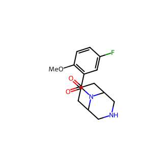 COc1ccc(F)cc1C(=O)N1C2CNCC1CC(=O)C2